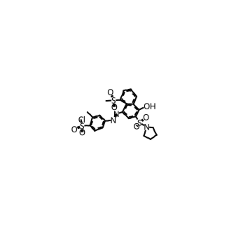 Cc1cc(N=Nc2cc(S(=O)(=O)N3CCCC3)c(O)c3cccc(S(C)(=O)=O)c23)ccc1S(=O)(=O)Cl